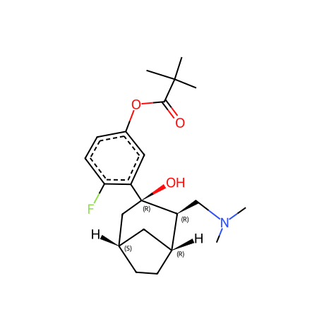 CN(C)C[C@H]1[C@@H]2CC[C@@H](C2)C[C@]1(O)c1cc(OC(=O)C(C)(C)C)ccc1F